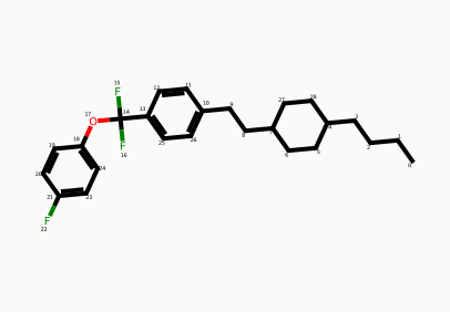 CCCCC1CCC(CCc2ccc(C(F)(F)Oc3ccc(F)cc3)cc2)CC1